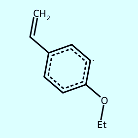 C=Cc1c[c]c(OCC)cc1